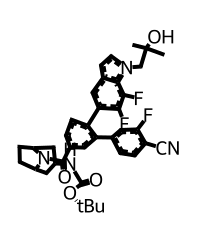 CC(C)(O)Cn1ccc2cc(-c3ccc(C(=O)N4C5CCC4CC(NC(=O)OC(C)(C)C)C5)cc3-c3ccc(C#N)c(F)c3)c(F)c(F)c21